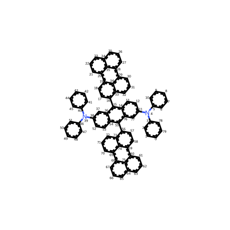 c1ccc(N(c2ccccc2)c2ccc3c(-c4ccc5c6cccc7cccc(c8cccc4c85)c76)c4cc(N(c5ccccc5)c5ccccc5)ccc4c(-c4ccc5c6cccc7cccc(c8cccc4c85)c76)c3c2)cc1